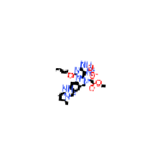 CCCCOc1nc(N)c([N+](=O)[O-])c(N(CC(=O)OCC)Cc2cccc(CN3C(C)CCC3N)c2)n1